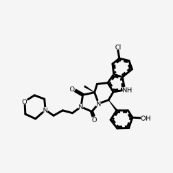 C[C@@]12Cc3c([nH]c4ccc(Cl)cc34)[C@@H](c3cccc(O)c3)N1C(=O)N(CCCN1CCOCC1)C2=O